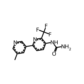 Cc1cncc(-c2ccc(NC(N)=O)c(C(F)(F)F)n2)c1